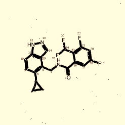 O=C(NCc1c(C2CC2)ccc2[nH]ncc12)c1cc(F)cc(F)c1C(F)F